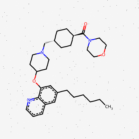 CCCCCCc1cc(OC2CCN(C[C@H]3CC[C@H](C(=O)N4CCOCC4)CC3)CC2)c2ncccc2c1